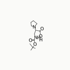 CC(C)(C)OC(=O)NCC(C(=O)O)N1CCCC1